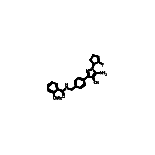 COc1ccccc1C(=O)NCc1ccc(-c2nn(C3CCCC3F)c(N)c2C#N)cc1